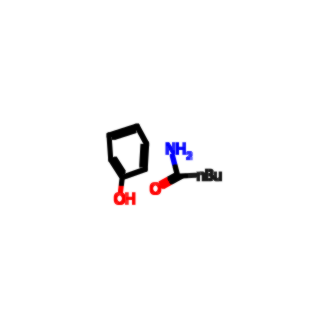 CCCCC(N)=O.Oc1ccccc1